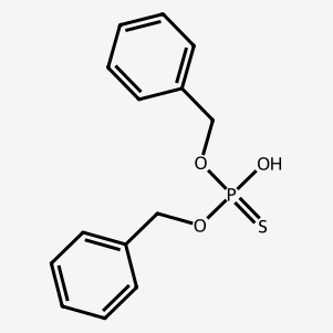 OP(=S)(OCc1ccccc1)OCc1ccccc1